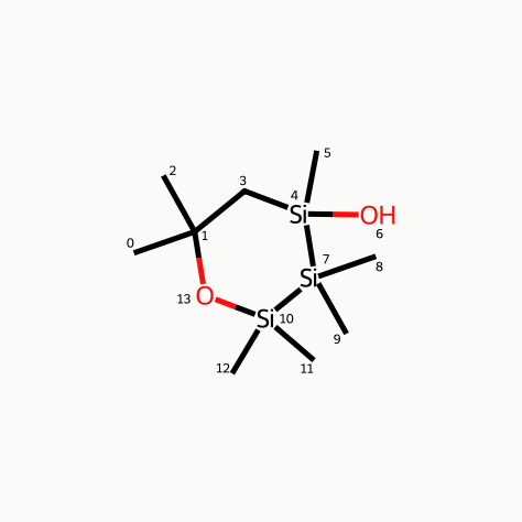 CC1(C)C[Si](C)(O)[Si](C)(C)[Si](C)(C)O1